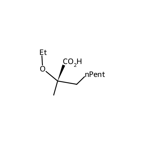 CCCCCC[C@](C)(OCC)C(=O)O